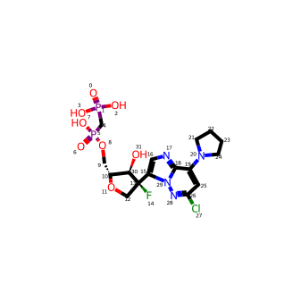 O=P(O)(O)CP(=O)(O)OC[C@H]1OC[C@@](F)(c2cnc3c(N4CCCC4)cc(Cl)nn23)[C@@H]1O